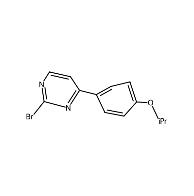 CC(C)Oc1ccc(-c2ccnc(Br)n2)cc1